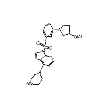 CO[C@@H]1CCN(c2cccc(S(=O)(=O)n3ccc4c(N5CCNCC5)cccc43)c2)C1